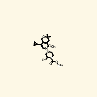 CC(C)C1CN(N2C=C(C3CC3)C3=C(CC(C)(C)OC3)[C@@H]2C#N)CCN1C(=O)OC(C)(C)C